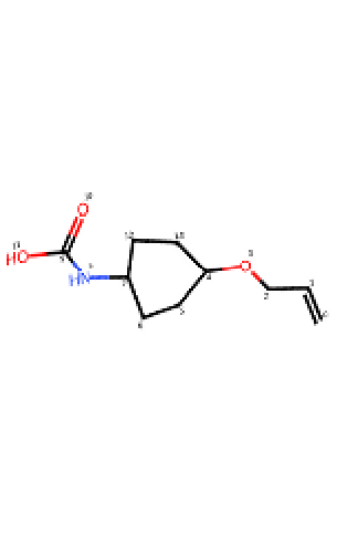 C=CCOC1CCC(NC(=O)O)CC1